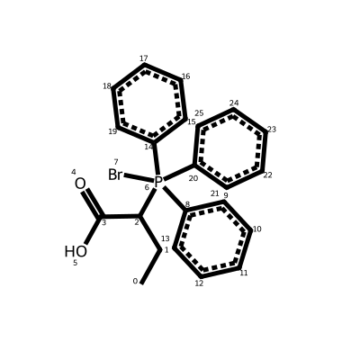 CCC(C(=O)O)P(Br)(c1ccccc1)(c1ccccc1)c1ccccc1